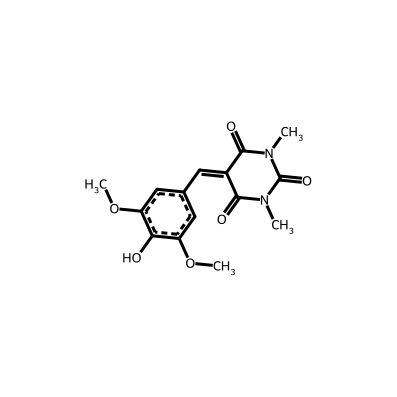 COc1cc(C=C2C(=O)N(C)C(=O)N(C)C2=O)cc(OC)c1O